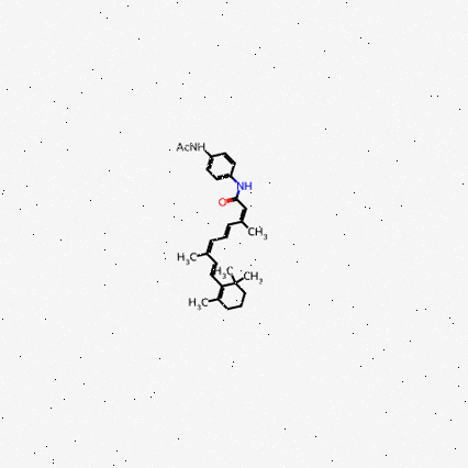 CC(=O)Nc1ccc(NC(=O)C=C(C)C=CC=C(C)C=CC2=C(C)CCCC2(C)C)cc1